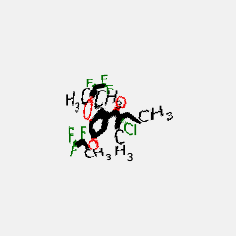 CCCC(Cl)(CC)C(=O)c1cc(OC(C)C(F)=C(F)F)cc(OC(C)(C)C(F)=C(F)F)c1